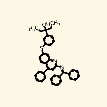 CCC(O)(CC)c1cccc(Sc2ccc3c(-c4ccccc4)cc(N=C(c4ccccc4)c4ccccc4)nc3c2)c1